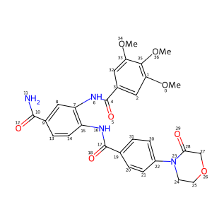 COc1cc(C(=O)Nc2cc(C(N)=O)ccc2NC(=O)c2ccc(N3CCOCC3=O)cc2)cc(OC)c1OC